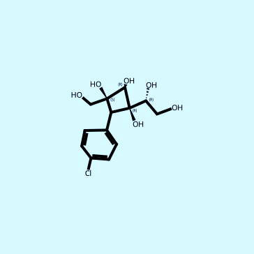 OC[C@@H](O)[C@]1(O)C(c2ccc(Cl)cc2)[C@](O)(CO)[C@H]1O